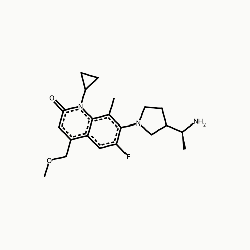 COCc1cc(=O)n(C2CC2)c2c(C)c(N3CCC([C@H](C)N)C3)c(F)cc12